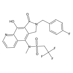 CN(c1c2c(c(O)c3ncccc13)C(=O)N(Cc1ccc(F)cc1)C2)S(=O)(=O)CC(F)(F)F